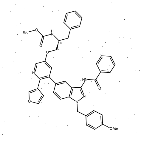 COc1ccc(Cn2nc(NC(=O)c3ccccc3)c3cc(-c4cc(OC[C@H](Cc5ccccc5)NC(=O)OC(C)(C)C)cnc4-c4ccoc4)ccc32)cc1